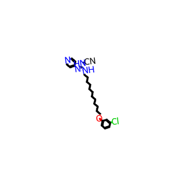 N#CN/C(=N\c1ccncc1)NCCCCCCCCCCCCOc1cccc(Cl)c1